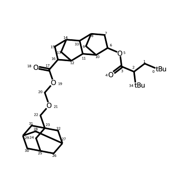 CC(C)(C)CC(C(=O)OC1CC2CC1C1C3CC(CC3C(=O)OCOCC34CC5CC(CC(C5)C3)C4)C21)C(C)(C)C